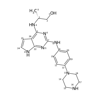 C[C@H](CO)Nc1nc(Nc2ccc(N3CCNCC3)cc2)nc2[nH]ccc12